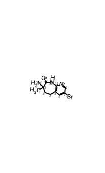 CC1(N)CCc2cc(Br)cnc2NC1=O